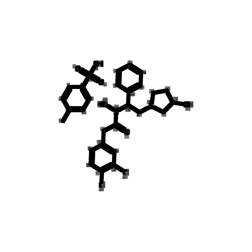 Cc1ccc(S(=O)(=O)O)cc1.O=C(Cc1ccc(Cl)c(Cl)c1)N(O)C(CN1CCC(O)C1)c1ccccc1